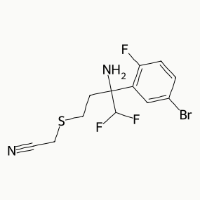 N#CCSCCC(N)(c1cc(Br)ccc1F)C(F)F